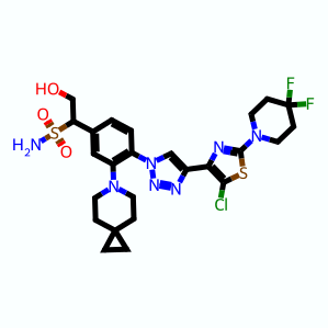 NS(=O)(=O)C(CO)c1ccc(-n2cc(-c3nc(N4CCC(F)(F)CC4)sc3Cl)nn2)c(N2CCC3(CC2)CC3)c1